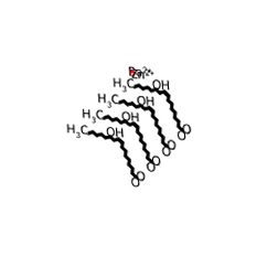 CCCCCC[C@@H](O)C/C=C\CCCCCCCC(=O)[O-].CCCCCC[C@@H](O)C/C=C\CCCCCCCC(=O)[O-].CCCCCC[C@@H](O)C/C=C\CCCCCCCC(=O)[O-].CCCCCC[C@@H](O)C/C=C\CCCCCCCC(=O)[O-].[Ba+2].[Zn+2]